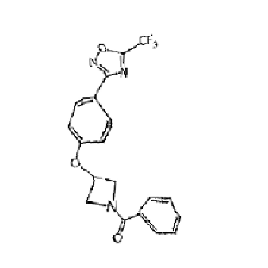 O=C(c1ccccc1)N1CC(Oc2ccc(-c3noc(C(F)(F)F)n3)cc2)C1